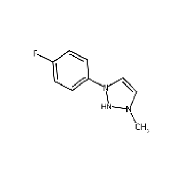 CN1C=CN(c2ccc(F)cc2)N1